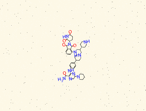 NC(=O)c1ncc(N2CCCCC2)nc1Nc1ccc(C2CCN(CC(CNc3cccc4c3C(=O)N(C3CCC(=O)NC3=O)C4=O)C3CCNCC3)CC2)cc1